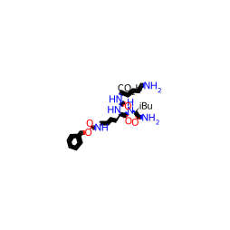 CC[C@@H](C)[C@H](NC(=O)[C@@H](CCCCNC(=O)OCC1=CCCC=C1)NC(=O)N[C@@H](CCCCN)C(=O)O)C(N)=O